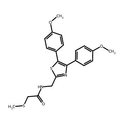 COc1ccc(-c2nc(CNC(=O)CSC)sc2-c2ccc(OC)cc2)cc1